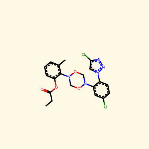 CCC(=O)Oc1cccc(C)c1N1CON(c2cc(Cl)ccc2-n2cc(Cl)nn2)CO1